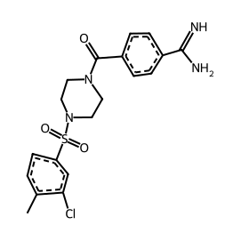 Cc1ccc(S(=O)(=O)N2CCN(C(=O)c3ccc(C(=N)N)cc3)CC2)cc1Cl